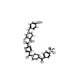 CS(=O)(=O)c1ccc(C(=O)C2CCN(C(=O)c3ccc(C(=O)N[C@@H]4CCN(Cc5ccc(O)cc5)C[C@H]4F)nc3)CC2)cc1